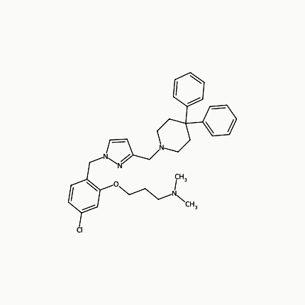 CN(C)CCCOc1cc(Cl)ccc1Cn1ccc(CN2CCC(c3ccccc3)(c3ccccc3)CC2)n1